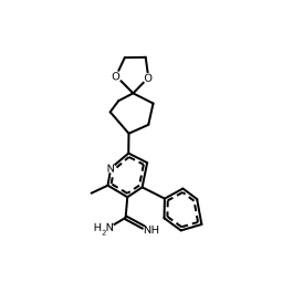 Cc1nc(C2CCC3(CC2)OCCO3)cc(-c2ccccc2)c1C(=N)N